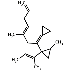 C=CCC=C(C)CC(=C1CC1)C1(C(C)=CC)CC1C